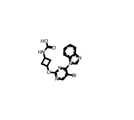 O=C(O)NC1CC(Oc2ncc(Br)c(-n3cnc4ccccc43)n2)C1